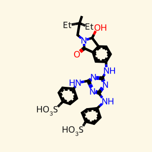 CCC(C)(CC)CN1C(=O)c2cc(Nc3nc(Nc4ccc(S(=O)(=O)O)cc4)nc(Nc4ccc(S(=O)(=O)O)cc4)n3)ccc2C1O